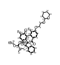 COC(=O)c1ccc(OCCOC2CCCCO2)c(F)c1-c1c(Cl)c(F)cc2c1C[C@@](CN(C)C(=O)OC(C)(C)C)(c1ccccc1)O2